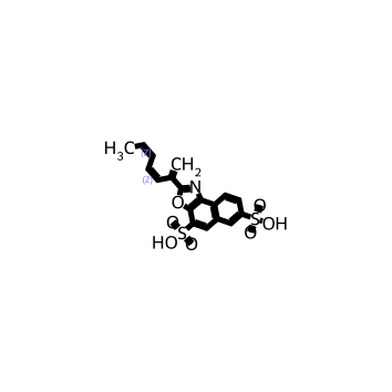 C=C(/C=C\C=C/C)c1nc2c(o1)c(S(=O)(=O)O)cc1cc(S(=O)(=O)O)ccc12